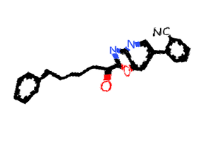 N#Cc1ccccc1-c1cnc2nc(C(=O)CCCCCc3ccccc3)oc2c1